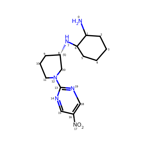 NC1CCCCC1N[C@H]1CCCN(c2ncc([N+](=O)[O-])cn2)C1